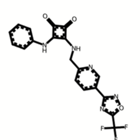 O=c1c(NCc2ccc(-c3noc(C(F)(F)F)n3)cn2)c(Nc2ccccc2)c1=O